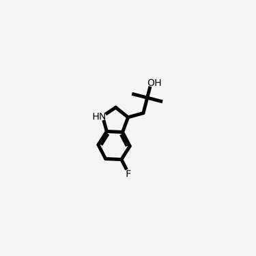 CC(C)(O)CC1CNC2=CCC(F)C=C21